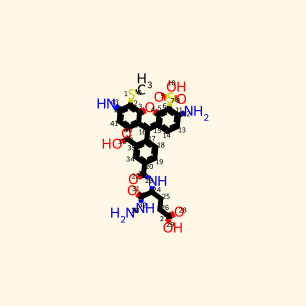 CSc1c2oc3c(S(=O)(=O)O)c(N)ccc3c(-c3ccc(C(=O)NC(CCC(=O)O)C(=O)NN)cc3C(=O)O)c-2ccc1=N